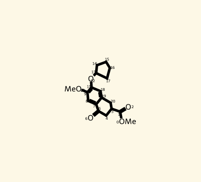 COC(=O)C1CC(=O)c2cc(OC)c(OC3CCCC3)cc2C1